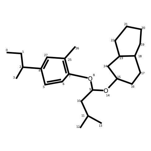 CCC(C)c1ccc(OC(CC(C)C)OC2CCC3CCCCC3C2)c(C)c1